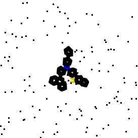 c1ccc(-c2ccc(N(c3cccc(-c4cc5ccccc5c5ccccc45)c3)c3ccc4c(c3)sc3cc5ccccc5cc34)cc2)cc1